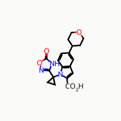 O=C(O)c1cc2cc(C3CCOCC3)ccc2n1C1(c2noc(=O)[nH]2)CC1